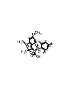 COc1ccc(C(N(C(=O)O)S(=O)(=O)c2c(F)cc(F)cc2F)C(C)(C)C)c(OC)c1